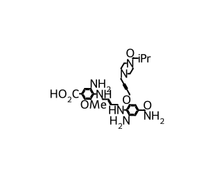 COc1cc(C(=O)O)cc(N)c1NCC=CCNc1c(N)cc(C(N)=O)cc1OCC#CCN1CCN(C(=O)C(C)C)CC1